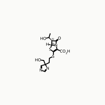 CC(O)[C@H]1C(=O)N2C(C(=O)O)=C(SCCC3(CO)C=NC=N3)S[C@H]12